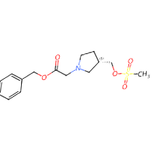 CS(=O)(=O)OC[C@H]1CCN(CC(=O)OCc2ccccc2)C1